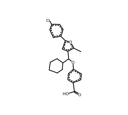 Cc1oc(-c2ccc(Cl)cc2)cc1C(Oc1ccc(C(=O)O)cc1)C1CCCCC1